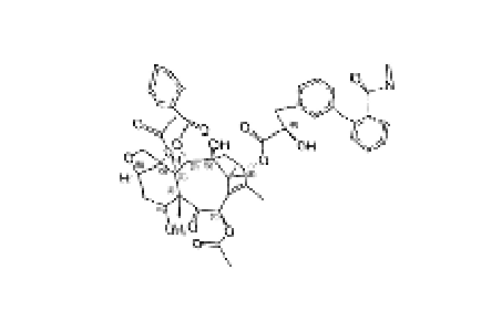 C=NC(=O)c1ccccc1-c1cccc(C[C@@H](O)C(=O)O[C@H]2C[C@@]3(O)[C@@H](OC(=O)c4ccccc4)[C@@H]4[C@]5(OC(C)=O)CO[C@@H]5C[C@H](O)[C@@]4(C)C(=O)[C@H](OC(C)=O)C(=C2C)C3(C)C)c1